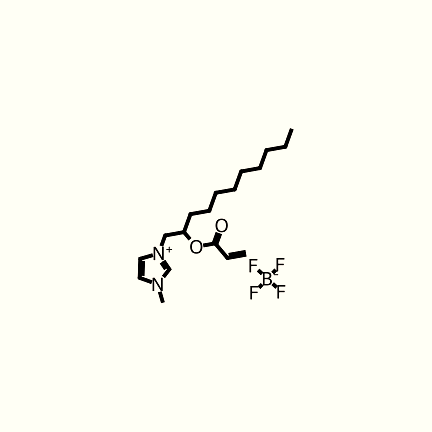 C=CC(=O)OC(CCCCCCCCC)C[n+]1ccn(C)c1.F[B-](F)(F)F